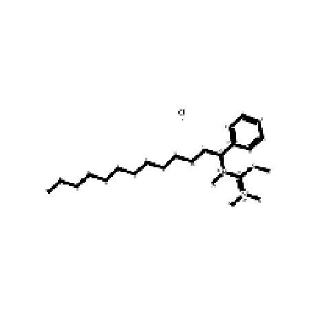 CCCCCCCCCCCCC(c1ccccc1)N(C)C(SC)=[N+](C)C.[Cl-]